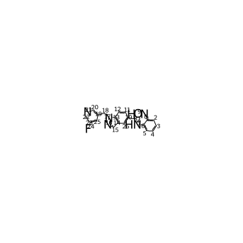 Nc1ccccc1NC(=O)c1ccc2c(cnn2Cc2cncc(F)c2)c1